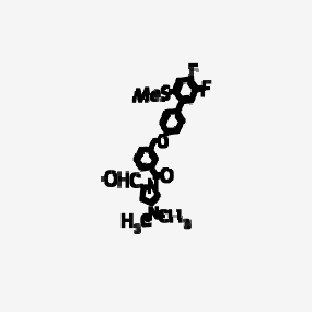 CSc1cc(F)c(F)cc1-c1ccc(OCc2cccc(C(=O)N3C[C@H](N(C)C)C[C@H]3[C]=O)c2)cc1